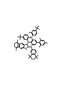 Cc1cc(C)c(-c2cc3c4c(c2)N(c2ccc5c(c2)C(C)(C)CCC5(C)C)C2Sc5cc6c(cc5C2B4c2cc(C(C)(C)C)ccc2N3c2ccc(C(C)(C)C)cc2C)C2(C)CCC6(C)CC2)c(C)c1